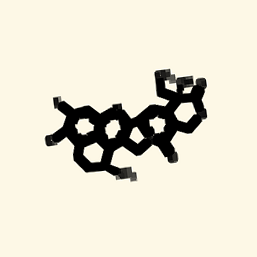 CC[C@@]1(O)C(=O)OCc2c1cc1n(c2=O)Cc2c-1nc1cc(F)c(Cl)c3c1c2[C@@H](N)CC3